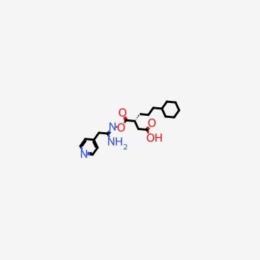 N/C(Cc1ccncc1)=N\OC(=O)[C@H](CCCC1CCCCC1)CC(=O)O